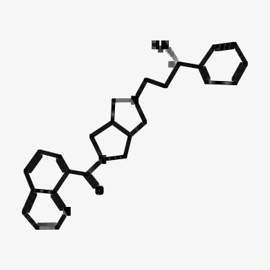 N[C@@H](CCN1CC2CN(C(=O)c3cccc4cccnc34)CC2C1)c1ccccc1